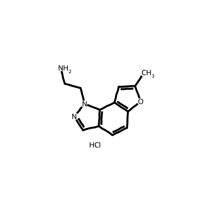 Cc1cc2c(ccc3cnn(CCN)c32)o1.Cl